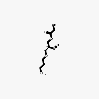 CCCCOC[C@@H](COC(=O)CO)N=O